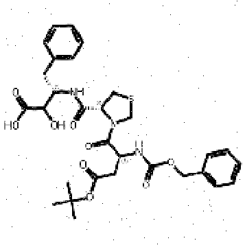 CC(C)(C)OC(=O)C[C@H](NC(=O)OCc1ccccc1)C(=O)N1CSC[C@H]1C(=O)N[C@@H](Cc1ccccc1)C(O)C(=O)O